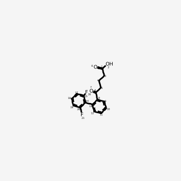 O=C(O)CCCC(=O)c1ccccc1-c1c(F)cccc1F